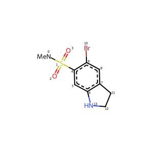 CNS(=O)(=O)c1cc2c(cc1Br)CCN2